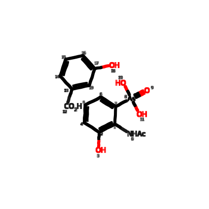 CC(=O)Nc1c(O)cccc1[As](=O)(O)O.O=C(O)c1cccc(O)c1